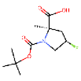 CC(C)(C)OC(=O)N1C[C@H](F)C[C@]1(C)C(=O)O